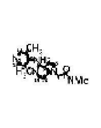 CNC(=O)Cn1ccc2c(Nc3c(C)cncc3C)nccc21